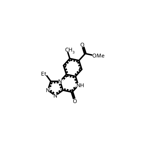 CCc1nnc2c(=O)[nH]c3cc(C(=O)OC)c(C)cc3n12